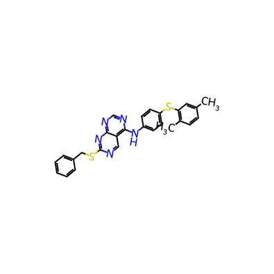 Cc1ccc(C)c(Sc2ccc(Nc3ncnc4nc(SCc5ccccc5)ncc34)cc2)c1